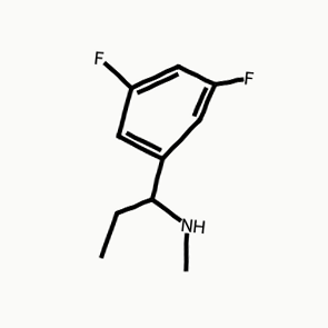 CCC(NC)c1cc(F)cc(F)c1